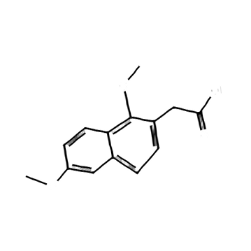 COc1ccc2c(OC)c(CC(=O)O)ccc2c1